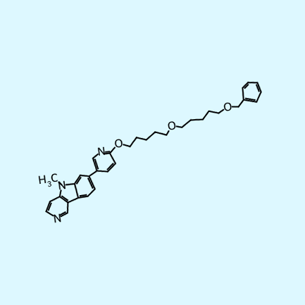 Cn1c2ccncc2c2ccc(-c3ccc(OCCCCCOCCCCCOCc4ccccc4)nc3)cc21